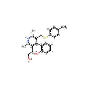 Cc1ccc(SCc2c(C(C)C)nc(C(C)C)c(CCO)c2-c2ccccc2O)cc1